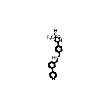 OC1(C(F)(F)F)CC(c2ccc(CNCc3cccc(-c4ccncc4)c3)cc2)=NO1